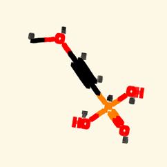 COC#CP(=O)(O)O